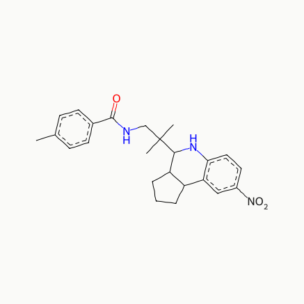 Cc1ccc(C(=O)NCC(C)(C)C2Nc3ccc([N+](=O)[O-])cc3C3CCCC32)cc1